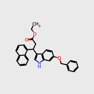 CCOC(=O)CC(c1cccc2ccccc12)c1c[nH]c2cc(OCc3ccccc3)ccc12